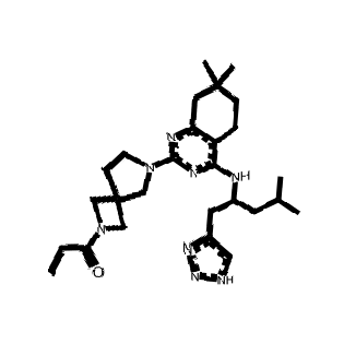 C=CC(=O)N1CC2(CCN(c3nc4c(c(NC(Cc5c[nH]nn5)CC(C)C)n3)CCC(C)(C)C4)C2)C1